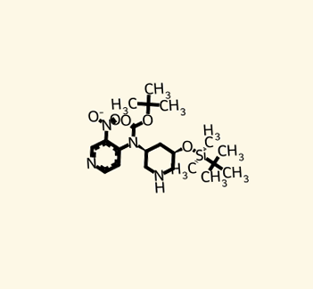 CC(C)(C)OC(=O)N(c1ccncc1[N+](=O)[O-])[C@@H]1CNC[C@H](O[Si](C)(C)C(C)(C)C)C1